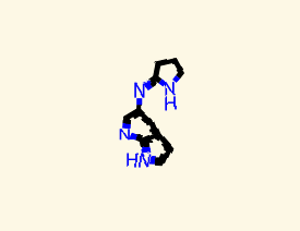 c1cc2cc(N=C3CCCN3)cnc2[nH]1